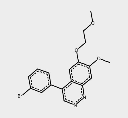 COCCOc1cc2c(-c3cccc(Br)c3)cnnc2cc1OC